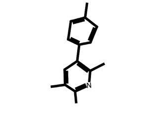 Cc1ccc(-c2cc(C)c(C)nc2C)cc1